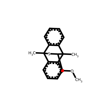 COC(=O)C1SC2(C)c3ccccc3C1(C)c1ccccc12